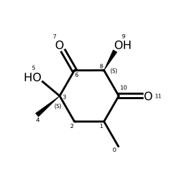 CC1C[C@](C)(O)C(=O)[C@@H](O)C1=O